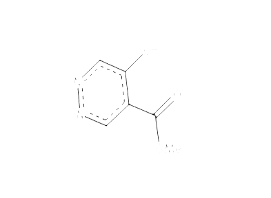 COC(=O)c1cnncc1C